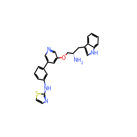 N[C@H](COc1cncc(-c2cccc(Nc3nccs3)c2)c1)Cc1c[nH]c2ccccc12